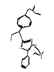 CCC(c1ccc(CC(C)C)cc1)c1nc(O[Si](C)(C)C)c(-c2ccccc2)s1